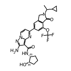 CC(C1CC1)N1Cc2cc(-c3ccn4nc(N)c(C(=O)N[C@@H]5CCC[C@H]5O)c4n3)cc(OC(F)(F)F)c2C1=O